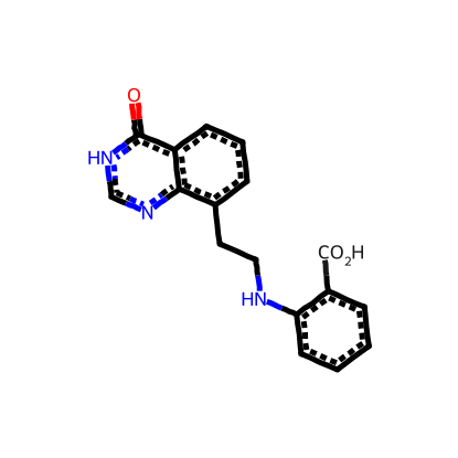 O=C(O)c1ccccc1NCCc1cccc2c(=O)[nH]cnc12